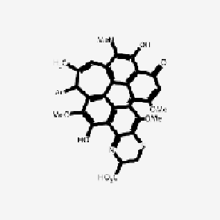 CNc1c(O)c2c3c(c4c(OC)c5c(c6c(O)c(OC)c7c(c3c1C=C(C)C7C(C)=O)c46)=NC(C(=O)O)CS5)C(OC)=CC2=O